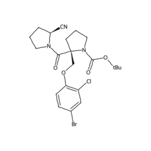 CC(C)(C)OC(=O)N1CCC[C@@]1(COc1ccc(Br)cc1Cl)C(=O)N1CCC[C@H]1C#N